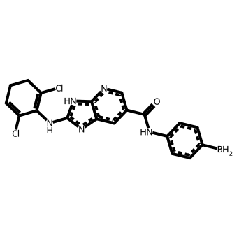 Bc1ccc(NC(=O)c2cnc3[nH]c(NC4=C(Cl)CCC=C4Cl)nc3c2)cc1